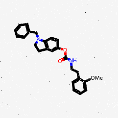 COc1ccccc1CCNC(=O)Oc1ccc2c(c1)CCN2Cc1ccccc1